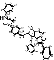 N#Cc1cnc2oc(-c3ccccc3)c(-c3ccccc3)c2c1NCCc1ccc(NC(=O)Nc2ccccc2)cc1